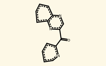 O=C(c1ccccn1)c1cnc2ccccc2n1